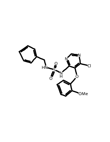 COc1ccccc1Oc1c(Cl)ncnc1NS(=O)(=O)NCc1ccccc1